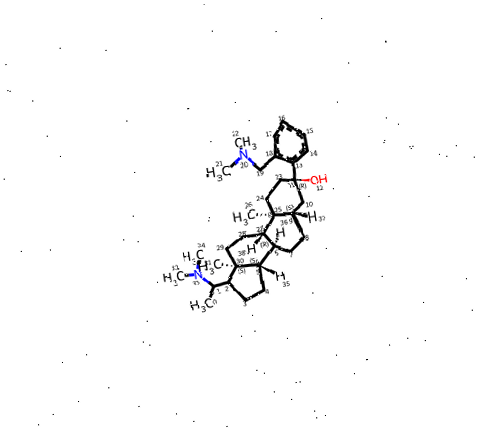 CC(C1CC[C@H]2[C@@H]3CC[C@H]4C[C@@](O)(c5ccccc5CN(C)C)CC[C@]4(C)[C@H]3CC[C@]12C)N(C)C